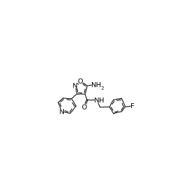 Nc1onc(-c2ccncc2)c1C(=O)NCc1ccc(F)cc1